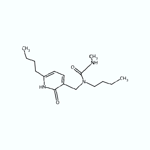 CCCCc1ccc(CN(CCCC)C(=O)NC)c(=O)[nH]1